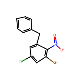 O=[N+]([O-])c1c(S)cc(Cl)cc1Cc1ccccc1